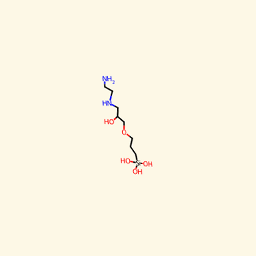 NCCNCC(O)COCCC[Si](O)(O)O